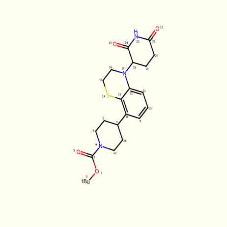 CC(C)(C)OC(=O)N1CCC(c2cccc3c2SCCN3C2CCC(=O)NC2=O)CC1